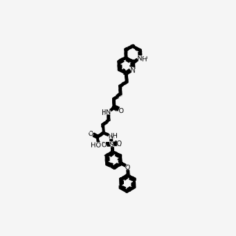 O=C(CCCCc1ccc2c(n1)NCCC2)NCCC(NS(=O)(=O)c1cccc(Oc2ccccc2)c1)C(=O)O